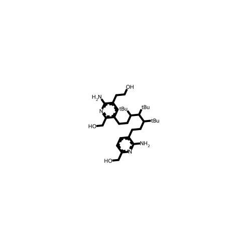 CC(C)(C)C(CCc1ccc(CO)nc1N)C(C(CCc1cc(CCO)c(N)nc1CO)C(C)(C)C)C(C)(C)C